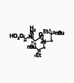 CCCCC(CC)CN(CC(CC)CCCC)C(=O)CN(N)CC(=O)O